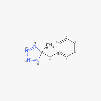 CC1(Cc2ccccc2)N=NN=N1